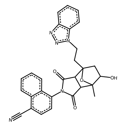 CC12OC(CCn3nnc4ccccc43)(CC1O)C1C(=O)N(c3ccc(C#N)c4ccccc34)C(=O)C12